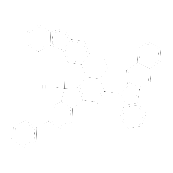 CCC1C(n2c3ccccc3c3cc4ccccc4cc32)=NC2=C(C1c1ccc3oc4ccccc4c3c1)C(C)(C)c1cc(-c3ccncc3)ccc12